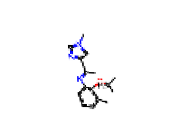 CC(=Nc1cccc(C)c1O[SiH](C)C)c1cn(C)cn1